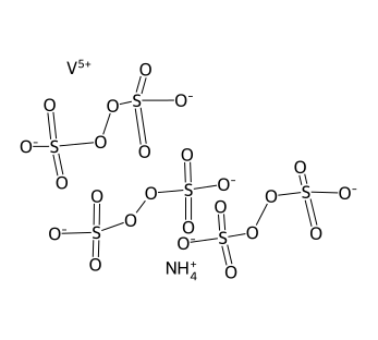 O=S(=O)([O-])OOS(=O)(=O)[O-].O=S(=O)([O-])OOS(=O)(=O)[O-].O=S(=O)([O-])OOS(=O)(=O)[O-].[NH4+].[V+5]